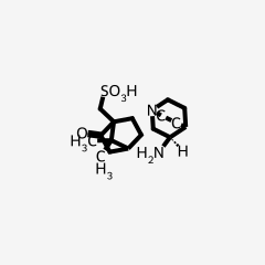 CC1(C)C2CCC1(CS(=O)(=O)O)C(=O)C2.N[C@H]1CN2CCC1CC2